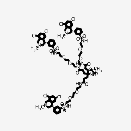 CN1Cc2c(Cl)cc(Cl)cc2[C@H](c2cccc(S(=O)(=O)NCCOCCOCCNC(=O)CCC(CCC(N)=O)(CCC(=O)N(CCOCCOCCNS(=O)(=O)c3cccc([C@@H]4CN(C)Cc5c(Cl)cc(Cl)cc54)c3)CCOCCOCCNS(=O)(=O)c3cccc([C@@H]4CN(C)Cc5c(Cl)cc(Cl)cc54)c3)NS(C)(=O)=O)c2)C1